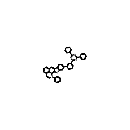 C1=CN(c2ccccc2)c2c3sc4cc(-c5cccc(-c6nc(-c7ccccc7)nc(-c7ccccc7)n6)c5)ccc4c3cc3cccc1c23